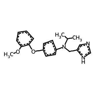 COc1ccccc1Oc1ccc(N(Cc2cnc[nH]2)C(C)C)cc1